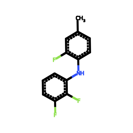 Cc1ccc(Nc2cccc(F)c2F)c(F)c1